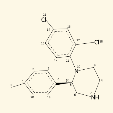 Cc1ccc([C@@H]2CNCCN2c2ccc(Cl)cc2Cl)cc1